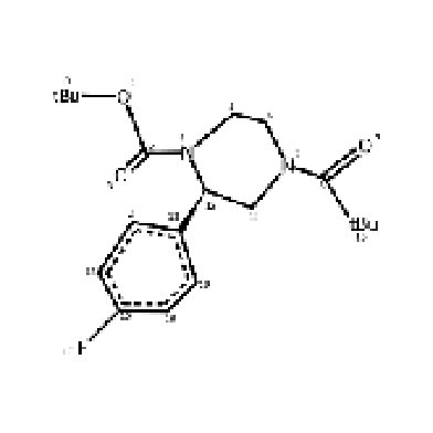 CC(C)(C)OC(=O)N1CCN(C(=O)C(C)(C)C)C[C@H]1c1ccc(F)cc1